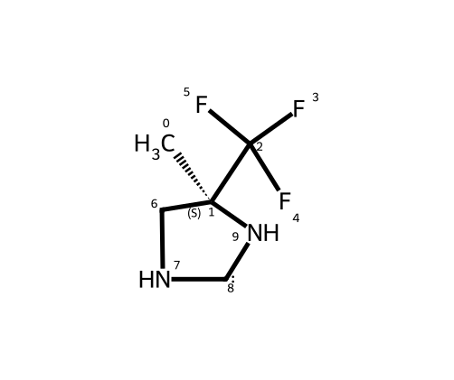 C[C@@]1(C(F)(F)F)CN[C]N1